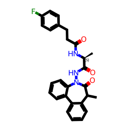 CC1C(=O)N(NC(=O)[C@H](C)NC(=O)CCc2ccc(F)cc2)c2ccccc2-c2ccccc21